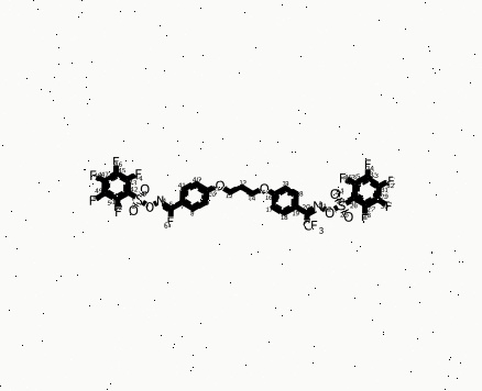 O=S(=O)(O/N=C(\F)c1ccc(OCCCOc2ccc(/C(=N/OS(=O)(=O)c3c(F)c(F)c(F)c(F)c3F)C(F)(F)F)cc2)cc1)c1c(F)c(F)c(F)c(F)c1F